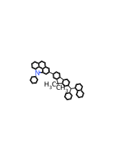 CC1(C)c2cc(-c3cc4ccc5cccc6c5c4c(c3)n6-c3ccccc3)ccc2-c2ccc(C(c3ccccc3)c3cccc4ccccc34)cc21